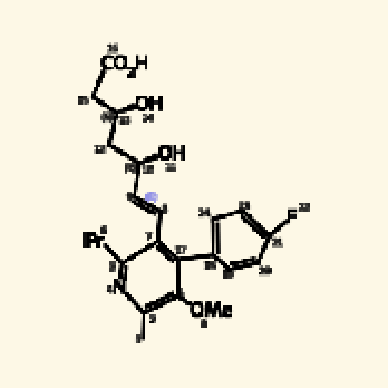 COc1c(C)nc(C(C)C)c(/C=C/[C@H](O)C[C@H](O)CC(=O)O)c1-c1ccc(F)cc1